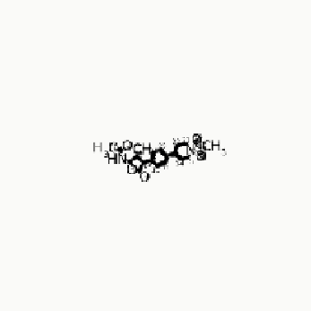 CC(=O)N[C@@H]1OC(=O)C(c2ccc(C3=CCN(S(C)(=O)=O)CC3)cc2)C1C